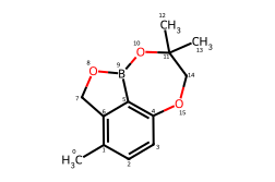 Cc1ccc2c3c1COB3OC(C)(C)CO2